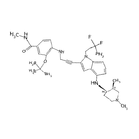 BC(B)(B)Oc1cc(C(=O)NC)ccc1NCC#Cc1cc2c(N[C@@H]3CCN(C)C[C@@H]3C)cccc2n1CC(F)(F)P